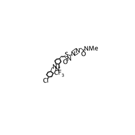 CNC(=O)CN1CCN(C2=NC(=O)C(=Cc3ccc4c(cnn4Cc4ccc(Cl)cc4C(F)(F)F)c3)S2)CC1